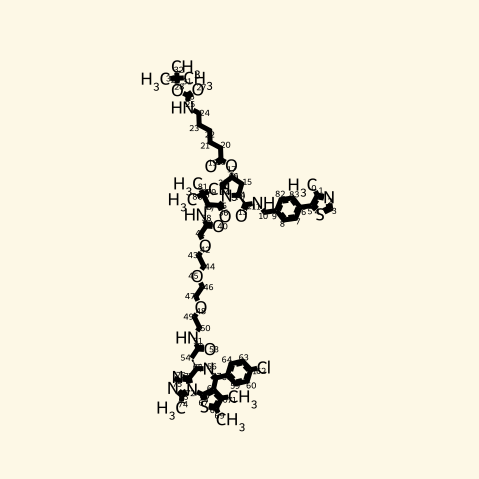 Cc1ncsc1-c1ccc(CNC(=O)[C@@H]2C[C@@H](OC(=O)CCCCCNC(=O)OC(C)(C)C)CN2C(=O)[C@@H](NC(=O)COCCOCCOCCNC(=O)C[C@@H]2N=C(c3ccc(Cl)cc3)c3c(sc(C)c3C)-n3c(C)nnc32)C(C)(C)C)cc1